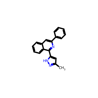 Cc1cc(-c2nc(-c3ccccc3)cc3ccccc23)[nH]n1